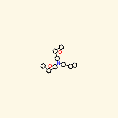 c1ccc(-c2cccc3c2oc2cc(N(c4ccc(-c5ccc6ccccc6c5)cc4)c4ccc(-c5cccc6c5oc5ccccc56)cc4)ccc23)cc1